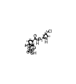 O=C(NOC[C@@H]1C[C@H](CCl)CN1)[C@@H]1CC[C@@H]2CN1C(=O)N2OS(=O)(=O)O